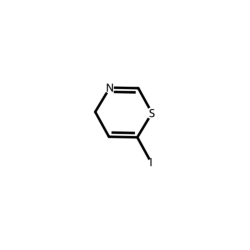 IC1=CCN=CS1